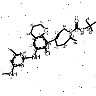 CNc1cc(C)nc(Nc2cc3c(c(C4=CCN(C(=O)OC(C)(C)C)C(C)CC4)c2Cl)OCCC3)n1